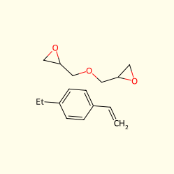 C(OCC1CO1)C1CO1.C=Cc1ccc(CC)cc1